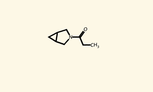 CCC(=O)N1CC2CC2C1